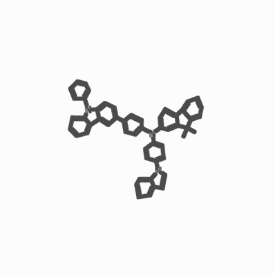 CC1(C)c2ccccc2-c2ccc(N(c3ccc(-c4ccc5c(c4)c4ccccc4n5-c4ccccc4)cc3)c3ccc(-n4ccc5ccccc54)cc3)cc21